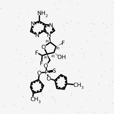 Cc1ccc(OP(=S)(OC[C@@]2(C(F)F)O[C@@H](n3cnc4c(N)ncnc43)[C@H](F)[C@@H]2O)Oc2ccc(C)cc2)cc1